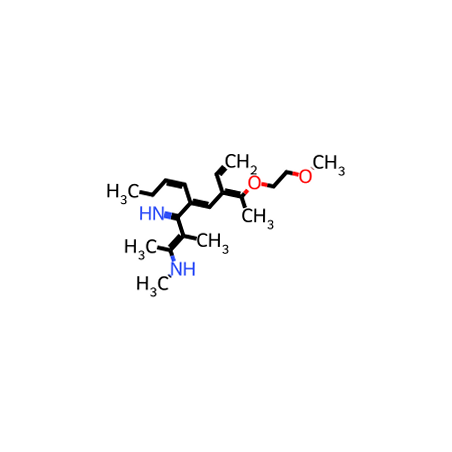 C=CC(/C=C(\C=C/CC)C(=N)/C(C)=C(\C)NC)=C(/C)OCCOC